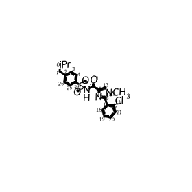 CC(C)Cc1ccc(S(=O)(=O)NC(=O)c2cn(C)c(-c3ccccc3Cl)n2)cc1